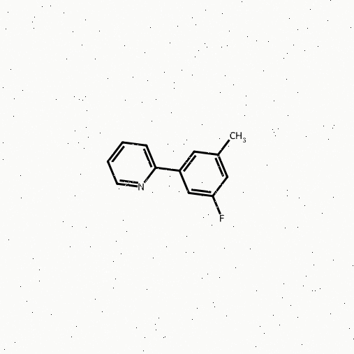 Cc1cc(F)cc(-c2ccccn2)c1